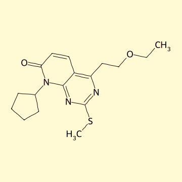 CCOCCc1nc(SC)nc2c1ccc(=O)n2C1CCCC1